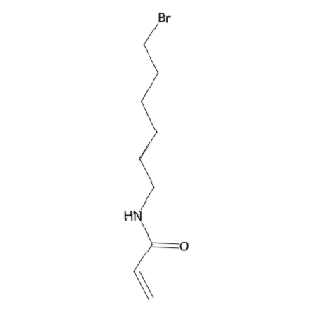 C=CC(=O)NCCCCCCBr